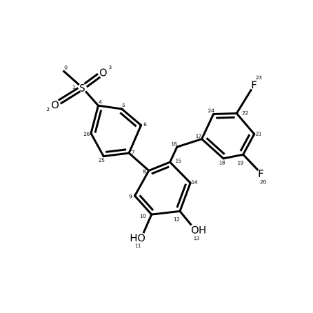 CS(=O)(=O)c1ccc(-c2cc(O)c(O)cc2Cc2cc(F)cc(F)c2)cc1